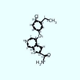 CCc1cc(Oc2cncc3sc(C(N)=O)cc23)ccc1Cl